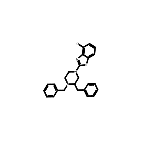 [O]c1cccc2sc(N3CCN(Cc4ccccc4)C(Cc4ccccc4)C3)nc12